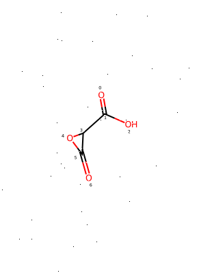 O=C(O)C1OC1=O